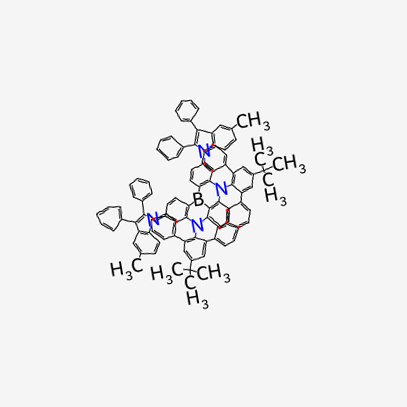 Cc1ccc2c(c1)c(-c1ccccc1)c(-c1ccccc1)n2-c1ccc2c(c1)N(c1c(-c3ccccc3)cc(C(C)(C)C)cc1-c1ccccc1)c1cccc3c1B2c1ccc(-n2c(-c4ccccc4)c(-c4ccccc4)c4cc(C)ccc42)cc1N3c1c(-c2ccccc2)cc(C(C)(C)C)cc1-c1ccccc1